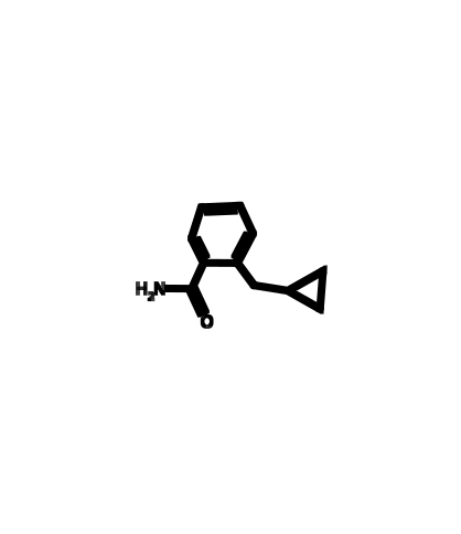 NC(=O)c1ccccc1CC1CC1